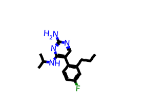 CCCc1cc(F)ccc1-c1cnc(N)nc1NC(C)C